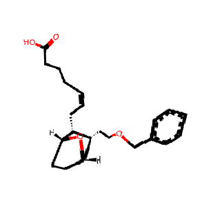 O=C(O)CCC/C=C\C[C@@H]1[C@H](CCOCc2ccccc2)[C@@H]2CC[C@H]1O2